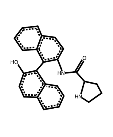 O=C(Nc1ccc2ccccc2c1-c1c(O)ccc2ccccc12)C1CCCN1